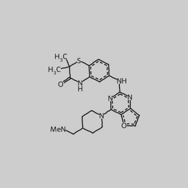 CNCC1CCN(c2nc(Nc3ccc4c(c3)NC(=O)C(C)(C)S4)nc3ccoc23)CC1